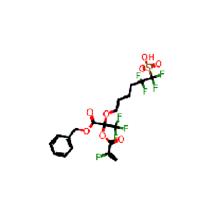 C=C(F)C(=O)OC(OCCCCC(F)(F)C(F)(F)S(=O)(=O)O)(C(=O)OCc1ccccc1)C(F)(F)F